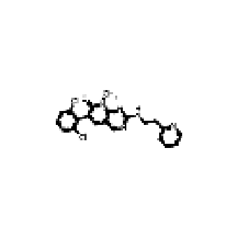 Cn1c(=O)c(-c2c(Cl)cccc2Cl)cc2cnc(NCCc3ccccn3)nc21